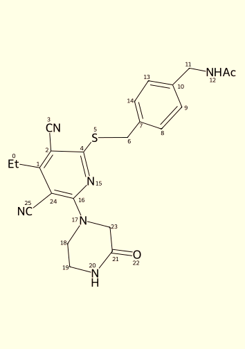 CCc1c(C#N)c(SCc2ccc(CNC(C)=O)cc2)nc(N2CCNC(=O)C2)c1C#N